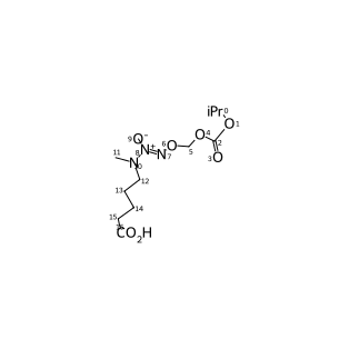 CC(C)OC(=O)OCON=[N+]([O-])N(C)CCCCC(=O)O